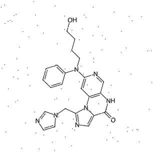 O=c1[nH]c2cnc(N(CCCCO)c3ccccc3)cc2n2c(Cn3ccnc3)ncc12